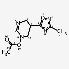 Cc1noc(C2CN=CN(OC(=O)C(F)(F)F)C2)n1